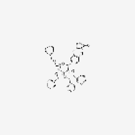 Clc1ccc(C2O[C@H](COCc3ccccc3)[C@@H](OCc3ccccc3)[C@H](OCc3ccccc3)[C@H]2OCc2ccccc2)cc1Cc1ccc(Br)s1